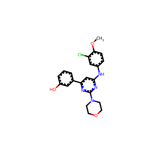 COc1ccc(Nc2cc(-c3cccc(O)c3)nc(N3CCOCC3)n2)cc1Cl